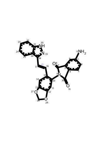 Nc1ccc2c(c1)C(=O)N(c1cc3c(cc1/C=C/c1n[nH]c4ccccc14)OCO3)C2=O